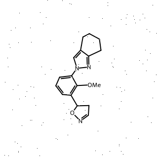 COc1c(C2CC=NO2)cccc1-n1cc2c(n1)CCCC2